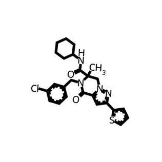 CC1(C(=O)NC2CCCCC2)Cn2nc(-c3cccs3)cc2C(=O)N1Cc1cccc(Cl)c1